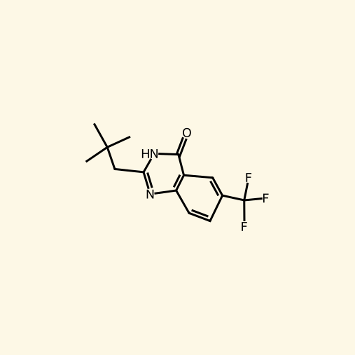 CC(C)(C)Cc1nc2ccc(C(F)(F)F)cc2c(=O)[nH]1